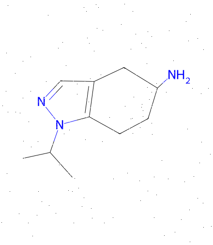 CC(C)n1ncc2c1CCC(N)C2